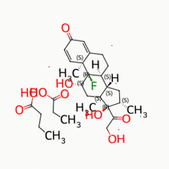 CCC(=O)O.CCCC(=O)O.C[C@H]1C[C@H]2[C@@H]3CCC4=CC(=O)C=C[C@]4(C)[C@@]3(F)[C@@H](O)C[C@]2(C)[C@@]1(O)C(=O)CO